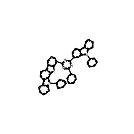 c1ccc(-c2nc(-c3ccc4c5ccccc5n(-c5ccccc5)c4c3)nc(-c3cccc4c3sc3c4ccc4c5ccccc5n(-c5ccccc5)c43)n2)cc1